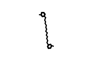 Cc1cccc(CCCCCCCCCCCCCCc2cccc(C)c2)c1